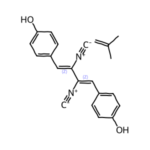 C=C(C)C.[C-]#[N+]C(=C\c1ccc(O)cc1)/C(=C/c1ccc(O)cc1)[N+]#[C-]